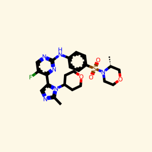 Cc1ncc(-c2nc(Nc3ccc(S(=O)(=O)N4CCOC[C@H]4C)cc3)ncc2F)n1C1CCOCC1